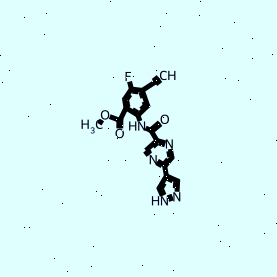 C#Cc1cc(NC(=O)c2cnc(-c3cn[nH]c3)cn2)c(C(=O)OC)cc1F